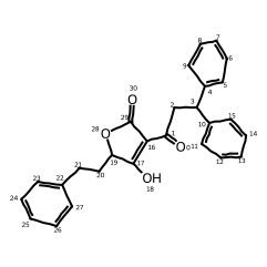 O=C(CC(c1ccccc1)c1ccccc1)C1=C(O)C(CCc2ccccc2)OC1=O